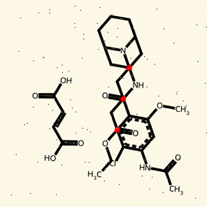 CCOC(=O)CCCCN1C2CCCC1CC(NC(=O)c1cc(Cl)c(NC(C)=O)cc1OC)C2.O=C(O)/C=C/C(=O)O